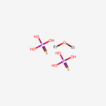 CCOCC.OP(O)(O)=S.OP(O)(O)=S